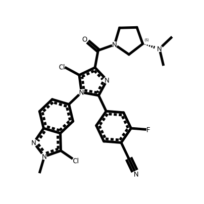 CN(C)[C@H]1CCN(C(=O)c2nc(-c3ccc(C#N)c(F)c3)n(-c3ccc4nn(C)c(Cl)c4c3)c2Cl)C1